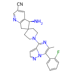 Cc1nc(N2CCC3(CC2)Cc2ncc(C#N)cc2[C@H]3N)c2ccnn2c1-c1ccccc1F